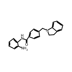 Nc1ccccc1NC(=O)c1ccc(CN2CCc3ccccc32)cc1